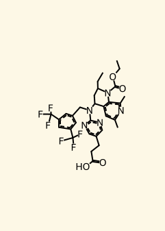 CCOC(=O)N1c2c(cc(C)nc2C)C(N(Cc2cc(C(F)(F)F)cc(C(F)(F)F)c2)c2ncc(CCC(=O)O)cn2)CC1CC